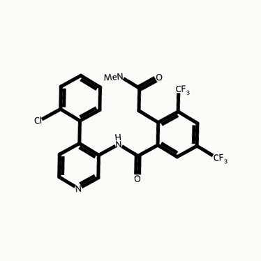 CNC(=O)Cc1c(C(=O)Nc2cnccc2-c2ccccc2Cl)cc(C(F)(F)F)cc1C(F)(F)F